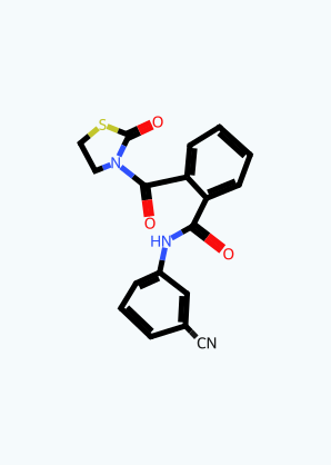 N#Cc1cccc(NC(=O)c2ccccc2C(=O)N2CCSC2=O)c1